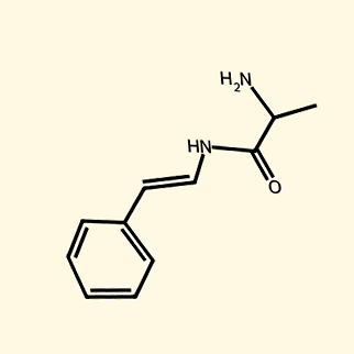 CC(N)C(=O)NC=Cc1ccccc1